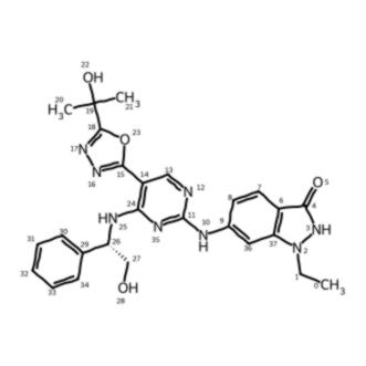 CCn1[nH]c(=O)c2ccc(Nc3ncc(-c4nnc(C(C)(C)O)o4)c(N[C@H](CO)c4ccccc4)n3)cc21